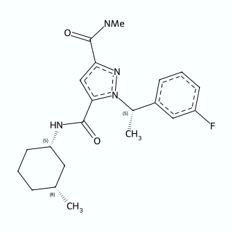 CNC(=O)c1cc(C(=O)N[C@H]2CCC[C@@H](C)C2)n([C@@H](C)c2cccc(F)c2)n1